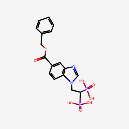 O=C(OCc1ccccc1)c1ccc2c(c1)ncn2CC(P(=O)(O)O)P(=O)(O)O